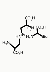 CC(C)CC(N)C(=O)O.CCC(C)C(N)C(=O)O.NC(CS)C(=O)O